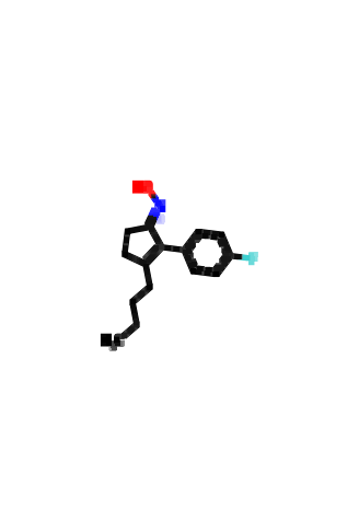 CCCCC1=C(c2ccc(F)cc2)/C(=N/O)CC1